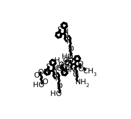 CCOC(=O)C1=C(COCCN)NC(C)=C(C(=O)OC)C1c1ccccc1Cl.O=C(O)/C=C/C(=O)O.O=S(=O)(O)c1ccccc1.OCCOCCN1CCN(C2=Nc3ccccc3Sc3ccccc32)CC1.OCCOCCN1CCN(C2=Nc3ccccc3Sc3ccccc32)CC1